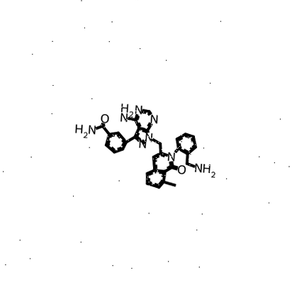 Cc1cccc2cc(Cn3nc(-c4cccc(C(N)=O)c4)c4c(N)ncnc43)n(-c3ccccc3CN)c(=O)c12